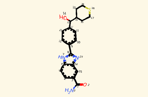 NC(=O)c1ccc2[nH]c(-c3ccc(C(O)C4CCSCC4)cc3)nc2c1